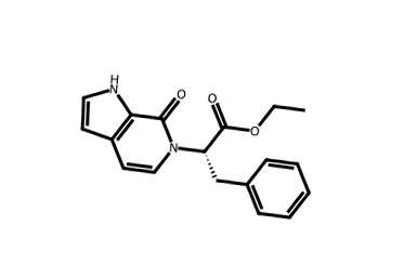 CCOC(=O)[C@H](Cc1ccccc1)n1ccc2cc[nH]c2c1=O